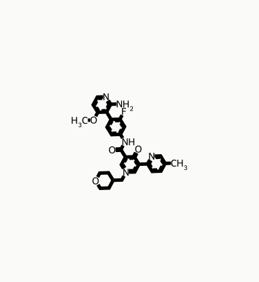 COc1ccnc(N)c1-c1ccc(NC(=O)c2cn(CC3CCOCC3)cc(-c3ccc(C)cn3)c2=O)cc1F